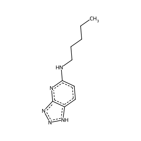 CCCCCNc1ccc2[nH]nnc2n1